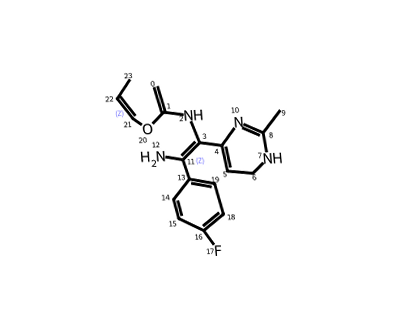 C=C(N/C(C1=CCNC(C)=N1)=C(\N)c1ccc(F)cc1)O/C=C\C